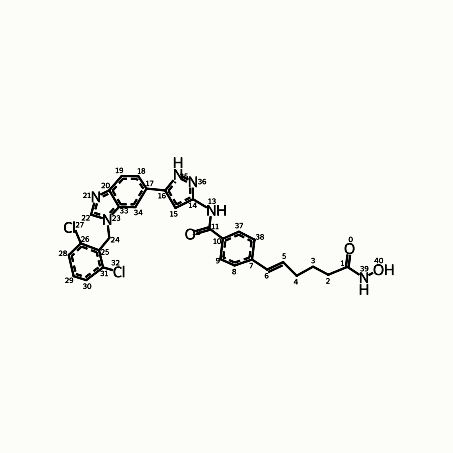 O=C(CCC/C=C/c1ccc(C(=O)Nc2cc(-c3ccc4ncn(Cc5c(Cl)cccc5Cl)c4c3)[nH]n2)cc1)NO